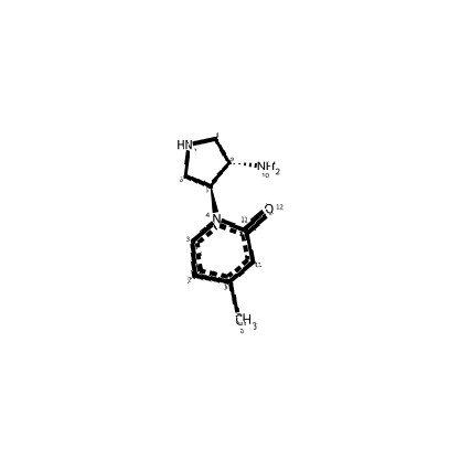 Cc1ccn([C@H]2CNC[C@@H]2N)c(=O)c1